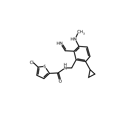 CNc1ccc(C2CC2)c(CNC(=O)c2ccc(Cl)s2)c1C=N